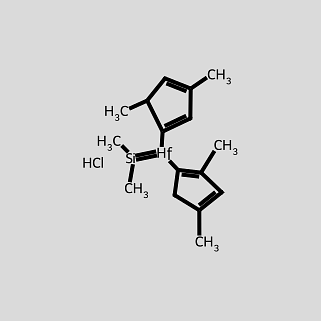 CC1=CC(C)[C]([Hf]([C]2=C(C)C=C(C)C2)=[Si](C)C)=C1.Cl